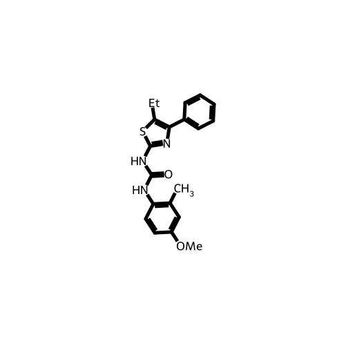 CCc1sc(NC(=O)Nc2ccc(OC)cc2C)nc1-c1ccccc1